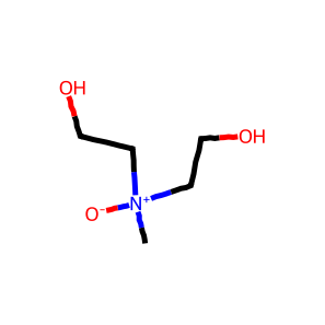 C[N+]([O-])(CCO)CCO